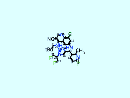 Cc1nc(F)ccc1C(Nc1cc(Cl)c2ncc(C#N)c(NCC(C)(C)C)c2c1)c1cn(C(CF)CF)nn1